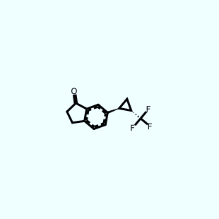 O=C1CCc2ccc([C@H]3C[C@@H]3C(F)(F)F)cc21